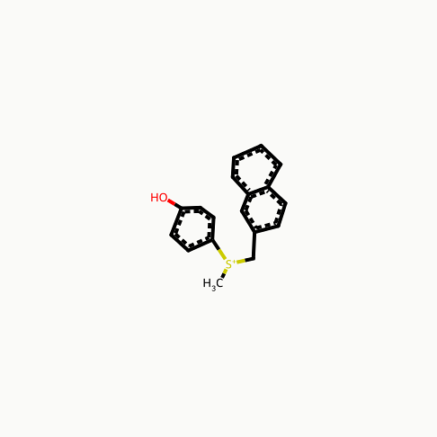 C[S+](Cc1ccc2ccccc2c1)c1ccc(O)cc1